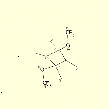 CC1C(C)(OC(F)(F)F)C(C)C1(C)OC(F)(F)F